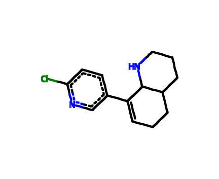 Clc1ccc(C2=CCCC3CCCNC23)cn1